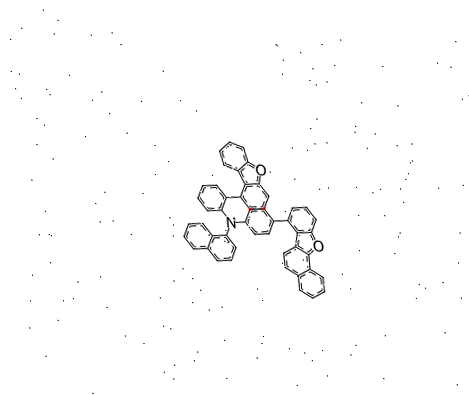 c1ccc(N(c2ccc(-c3cccc4oc5c6ccccc6ccc5c34)cc2)c2cccc3ccccc23)c(-c2cccc3oc4ccccc4c23)c1